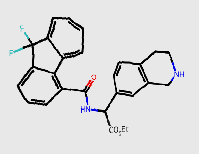 CCOC(=O)C(NC(=O)c1cccc2c1-c1ccccc1C2(F)F)c1ccc2c(c1)CNCC2